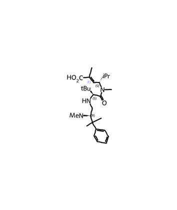 CN[C@@H](CN[C@H](C(=O)N(C)[C@H](/C=C(\C)C(=O)O)C(C)C)C(C)(C)C)C(C)(C)c1ccccc1